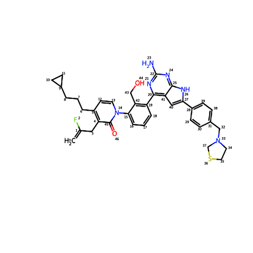 C=C(F)Cc1c(CCCC2CC2)ccn(-c2cccc(-c3nc(N)nc4[nH]c(-c5ccc(CN6CCSC6)cc5)cc34)c2CO)c1=O